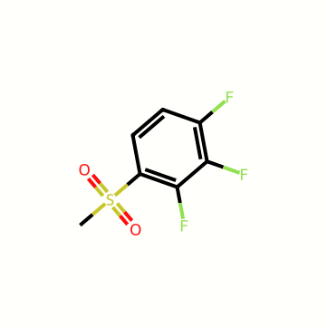 CS(=O)(=O)c1ccc(F)c(F)c1F